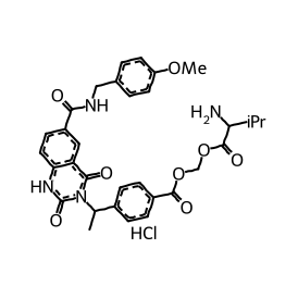 COc1ccc(CNC(=O)c2ccc3[nH]c(=O)n(C(C)c4ccc(C(=O)OCOC(=O)C(N)C(C)C)cc4)c(=O)c3c2)cc1.Cl